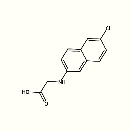 O=C(O)CNc1ccc2cc(Cl)ccc2c1